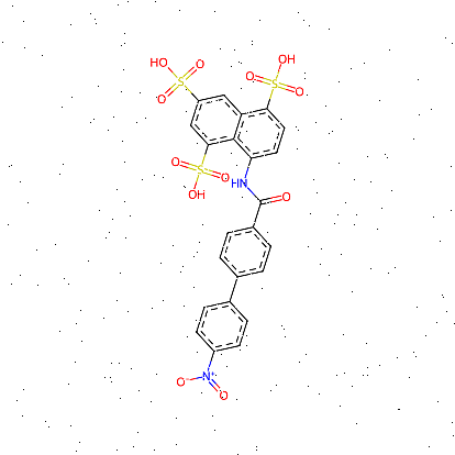 O=C(Nc1ccc(S(=O)(=O)O)c2cc(S(=O)(=O)O)cc(S(=O)(=O)O)c12)c1ccc(-c2ccc([N+](=O)[O-])cc2)cc1